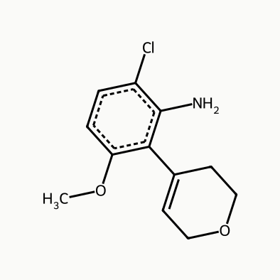 COc1ccc(Cl)c(N)c1C1=CCOCC1